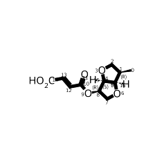 C[C@@H]1CO[C@H]2[C@@H]1OC[C@H]2OC(=O)C=CC(=O)O